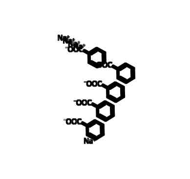 O=C([O-])c1ccccc1.O=C([O-])c1ccccc1.O=C([O-])c1ccccc1.O=C([O-])c1ccccc1.O=C([O-])c1ccccc1.[Na+].[Na+].[Na+].[Na+].[Na+]